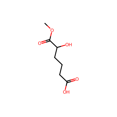 COC(=O)C(O)CCCC(=O)O